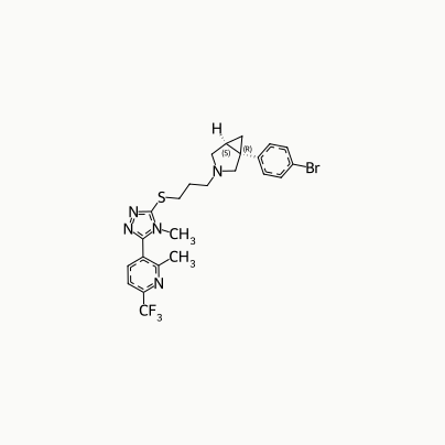 Cc1nc(C(F)(F)F)ccc1-c1nnc(SCCCN2C[C@H]3C[C@@]3(c3ccc(Br)cc3)C2)n1C